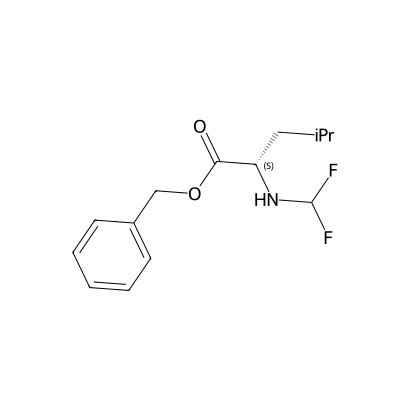 CC(C)C[C@H](NC(F)F)C(=O)OCc1ccccc1